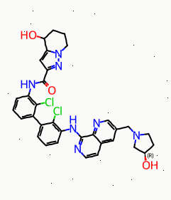 O=C(Nc1cccc(-c2cccc(Nc3nccc4cc(CN5CC[C@@H](O)C5)cnc34)c2Cl)c1Cl)c1cc2n(n1)CCCC2O